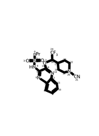 CCCS(=O)(=O)Nc1nc2ccccc2nc1OC(C1CCN(C#N)CC1)C(F)(F)F